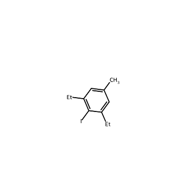 CCc1cc(C)cc(CC)c1I